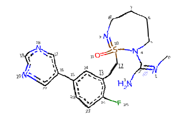 C/N=C(/N)N1CCCCN=S1(=O)Cc1cc(-c2cncnc2)ccc1F